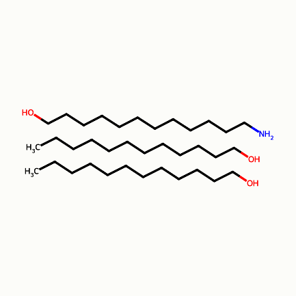 CCCCCCCCCCCCO.CCCCCCCCCCCCO.NCCCCCCCCCCCCO